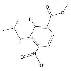 COC(=O)c1ccc([N+](=O)[O-])c(NC(C)C)c1F